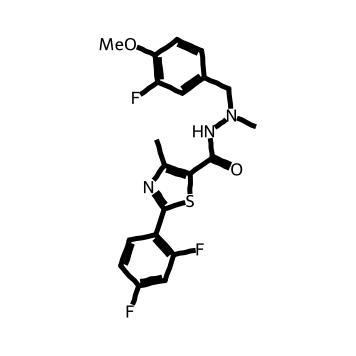 COc1ccc(CN(C)NC(=O)c2sc(-c3ccc(F)cc3F)nc2C)cc1F